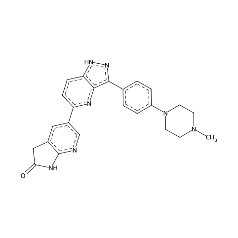 CN1CCN(c2ccc(-c3n[nH]c4ccc(-c5cnc6c(c5)CC(=O)N6)nc34)cc2)CC1